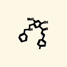 COc1cc(O)c(C(=O)/C=C/c2ccc(C)cc2)cc1CNCc1ccccc1